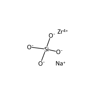 [Na+].[O-][Si]([O-])([O-])[O-].[Zr+4]